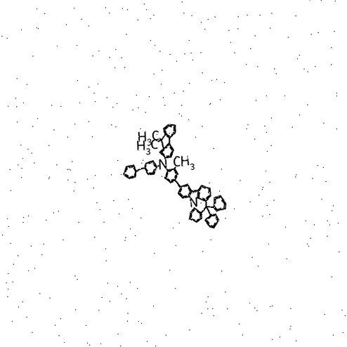 Cc1cc(-c2ccc3c(c2)c2cccc4c2n3-c2ccccc2C4(c2ccccc2)c2ccccc2)ccc1N(c1ccc(-c2ccccc2)cc1)c1ccc2c(c1)C(C)(C)c1ccccc1-2